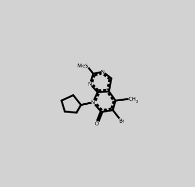 CSc1ncc2c(C)c(Br)c(=O)n(C3CCCC3)c2n1